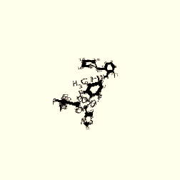 Cc1c(NCc2c(F)cccc2CN2CCC2)cc(F)c(S(=O)(=O)N(OC(=O)C(F)(F)F)c2cscn2)c1F